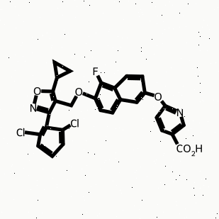 O=C(O)c1ccc(Oc2ccc3c(F)c(OCc4c(-c5c(Cl)cccc5Cl)noc4C4CC4)ccc3c2)nc1